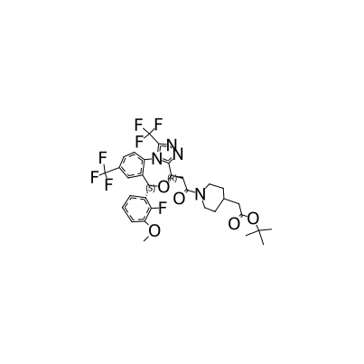 COc1cccc([C@H]2O[C@H](CC(=O)N3CCC(CC(=O)OC(C)(C)C)CC3)c3nnc(C(F)(F)F)n3-c3ccc(C(F)(F)F)cc32)c1F